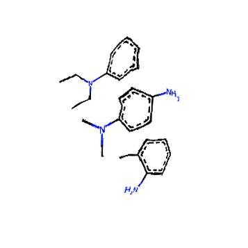 CCN(CC)c1ccccc1.CN(C)c1ccc(N)cc1.Cc1ccccc1N